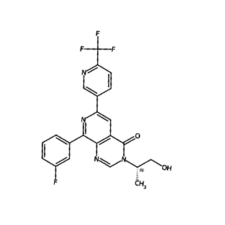 C[C@@H](CO)n1cnc2c(-c3cccc(F)c3)nc(-c3ccc(C(F)(F)F)nc3)cc2c1=O